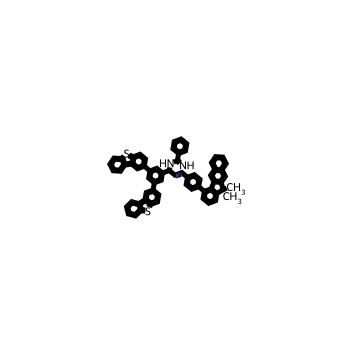 CC1(C)c2cc3ccccc3cc2-c2c(-c3ccc(/C=C/C(NC(=N)c4ccccc4)c4cc(-c5ccc6sc7ccccc7c6c5)cc(-c5ccc6sc7ccccc7c6c5)c4)cc3)cccc21